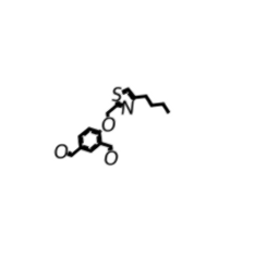 CCCCc1csc(COc2ccc(C=O)cc2C=O)n1